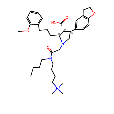 CCCCN(CCCC[N+](C)(C)C)C(=O)CN1C[C@H](c2ccc3c(c2)CCO3)[C@@H](C(=O)O)[C@@H]1CCCc1ccccc1OC